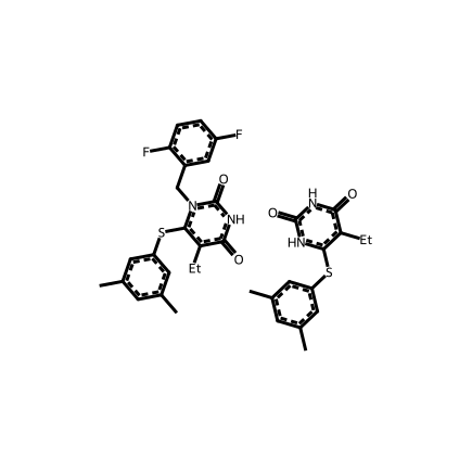 CCc1c(Sc2cc(C)cc(C)c2)[nH]c(=O)[nH]c1=O.CCc1c(Sc2cc(C)cc(C)c2)n(Cc2cc(F)ccc2F)c(=O)[nH]c1=O